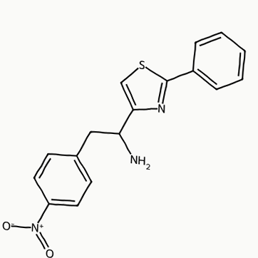 NC(Cc1ccc([N+](=O)[O-])cc1)c1csc(-c2ccccc2)n1